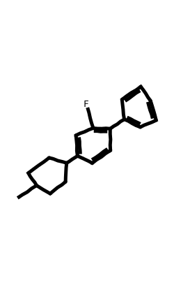 CC1CCC(c2ccc(-c3ccccc3)c(F)c2)CC1